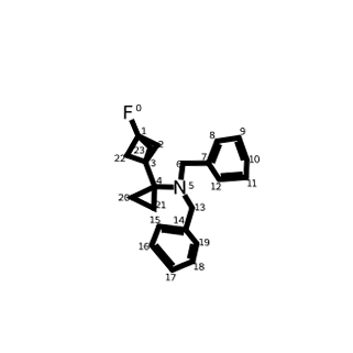 FC12CC(C3(N(Cc4ccccc4)Cc4ccccc4)CC3)(C1)C2